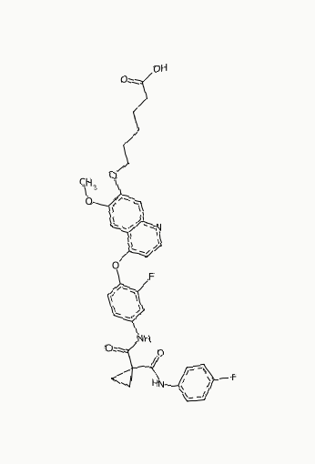 COc1cc2c(Oc3ccc(NC(=O)C4(C(=O)Nc5ccc(F)cc5)CC4)cc3F)ccnc2cc1OCCCCCC(=O)O